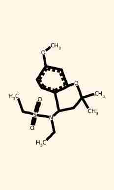 CCN(C1CC(C)(C)Oc2cc(OC)ccc21)S(=O)(=O)CC